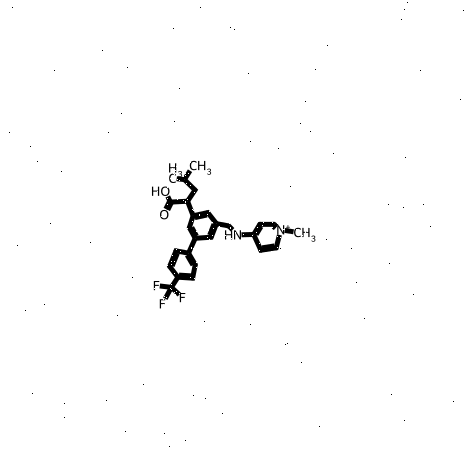 CC(C)CC(C(=O)O)c1cc(CNc2cc[n+](C)cc2)cc(-c2ccc(C(F)(F)F)cc2)c1